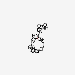 O=C1COc2ccc(CNCC34CCOCCCCOc5ccc6ccc(=O)n(c6c5)CCN(CC3)C4)nc2N1